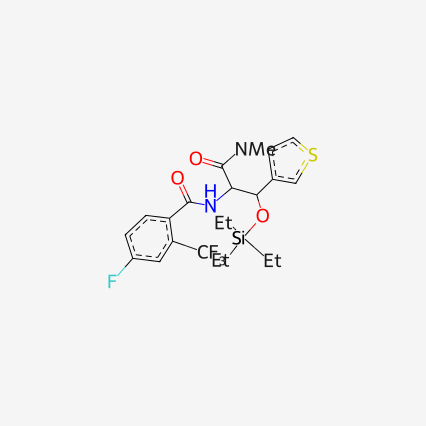 CC[Si](CC)(CC)OC(c1ccsc1)C(NC(=O)c1ccc(F)cc1C(F)(F)F)C(=O)NC